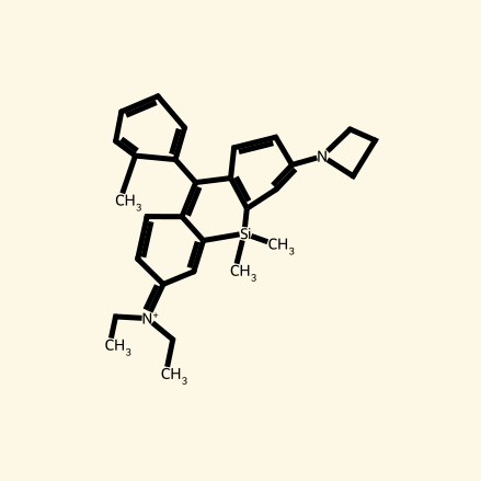 CC[N+](CC)=C1C=CC2=C(c3ccccc3C)c3ccc(N4CCC4)cc3[Si](C)(C)C2=C1